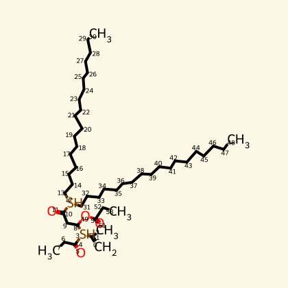 C=C(C)[SH](C(=O)CC)C(CC(=O)[SH](CCCCCCCCCCCCCCCCCC)CCCCCCCCCCCCCCCCCC)OC(=O)CC